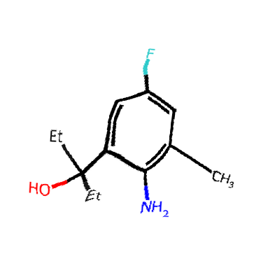 CCC(O)(CC)c1cc(F)cc(C)c1N